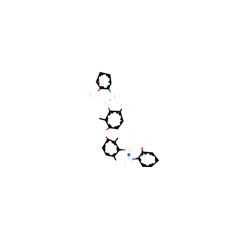 Cc1ccc(Oc2ccc(C)c(/N=N/c3ccccc3O)c2C)c(C)c1/N=N/c1ccccc1O